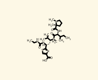 CCNC(=O)N[C@H](C[C@H](C(C)C)N(C)C(=O)[C@@H](NC(=O)[C@@]1(C)CCCN1C)C(C)CC)c1nc(C(=O)O)cs1